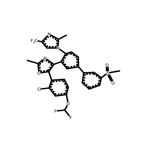 Cc1nc(-c2cc(-c3cccc(S(C)(=O)=O)c3)ccc2-n2cc(C(F)(F)F)nc2C)c(-c2ccc(OC(F)F)cc2Cl)o1